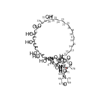 CNCC(=O)N[C@@H]1[C@H](O)[C@@H](O[C@H]2/C=C/C=C/C=C/C=C/C=C/C=C/C=C/[C@H](C)[C@@H](O)[C@@H](C)[C@H](C)OC(=O)C[C@H](O)C[C@H](O)CC[C@@H](O)[C@H](O)C[C@H](O)C[C@]3(O)C[C@H](O)[C@@H](C(=O)N4CCC(N5CCOCC5)CC4)[C@H](C2)O3)O[C@@H](C)[C@H]1O